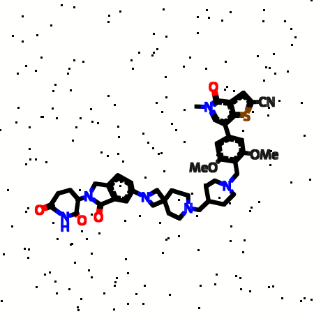 COc1cc(-c2cn(C)c(=O)c3cc(C#N)sc23)cc(OC)c1CN1CCC(CN2CCC3(CC2)CN(c2ccc4c(c2)C(=O)N(C2CCC(=O)NC2=O)C4)C3)CC1